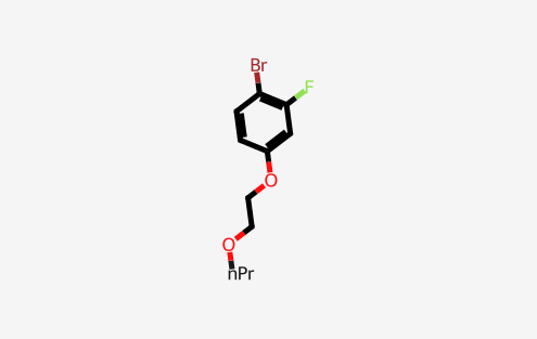 CCCOCCOc1ccc(Br)c(F)c1